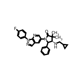 CC1(C)C(=O)N(c2cnc3c(cnn3-c3ccc(F)cc3)c2)C(c2ccccc2)[C@H]1NCC1CC1